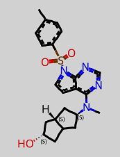 Cc1ccc(S(=O)(=O)n2ccc3c(N(C)[C@H]4CC5C[C@H](O)C[C@@H]5C4)ncnc32)cc1